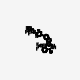 O=C1N[C@@H]2C[C@H](c3c(OC(F)F)cccc31)n1c2nc2ccc(-c3cnc(N4CC(O)(C(F)(F)F)C4)nc3)cc21